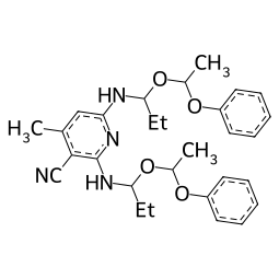 CCC(Nc1cc(C)c(C#N)c(NC(CC)OC(C)Oc2ccccc2)n1)OC(C)Oc1ccccc1